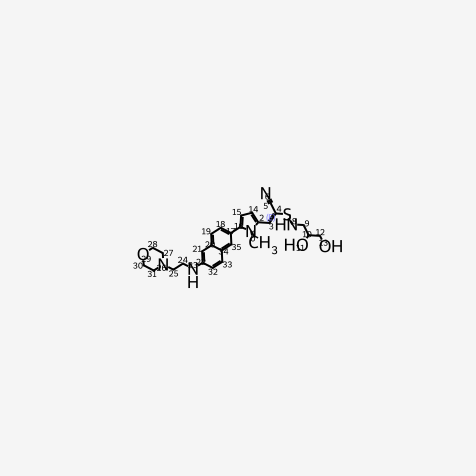 Cn1c(/C=C(\C#N)SNCC(O)CO)ccc1-c1ccc2cc(NCCN3CCOCC3)ccc2c1